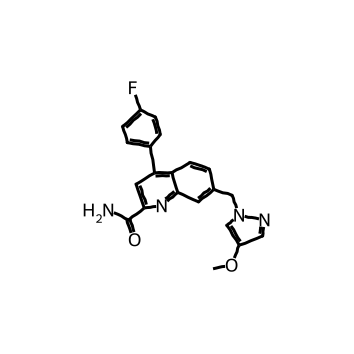 COc1cnn(Cc2ccc3c(-c4ccc(F)cc4)cc(C(N)=O)nc3c2)c1